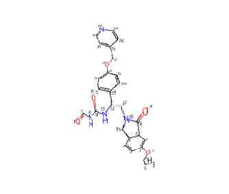 COc1ccc2c(c1)C(=O)N(C[C@H](NC(=O)NC=O)c1ccc(OCc3ccncc3)cc1)C2